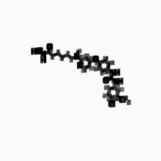 CN(CCCCCC(=O)NO)c1cc(Oc2ccc(NC(=O)Nc3ccc(Cl)c(C(F)(F)F)c3)cc2)ccn1